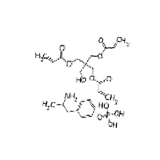 C=CC(=O)OCC(CO)(COC(=O)C=C)COC(=O)C=C.CC(N)Cc1ccccc1.O=P(O)(O)O